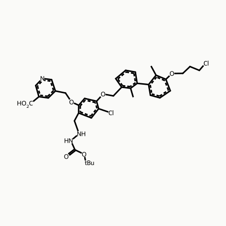 Cc1c(COc2cc(OCc3cncc(C(=O)O)c3)c(CNNC(=O)OC(C)(C)C)cc2Cl)cccc1-c1cccc(OCCCCl)c1C